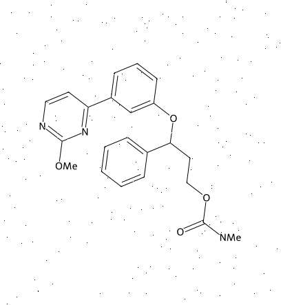 CNC(=O)OCCC(Oc1cccc(-c2ccnc(OC)n2)c1)c1ccccc1